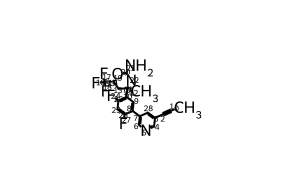 CC#Cc1cncc(-c2cc([C@]3(C)C[C@@H](C(F)(F)F)OC(N)=N3)c(F)cc2F)c1